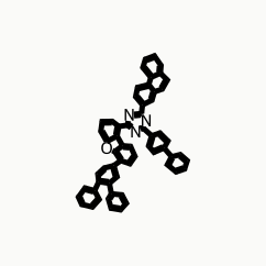 c1ccc(-c2ccc(-c3nc(-c4ccc5c(ccc6ccccc65)c4)nc(-c4cccc5oc6c(-c7ccc(-c8ccccc8)c(-c8ccccc8)c7)cccc6c45)n3)cc2)cc1